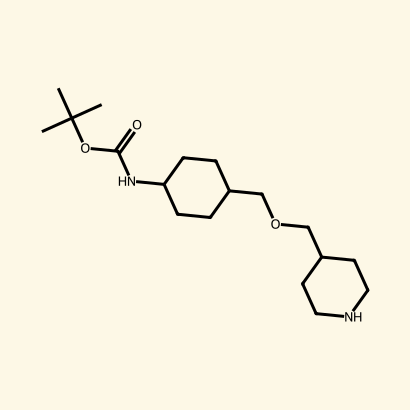 CC(C)(C)OC(=O)NC1CCC(COCC2CCNCC2)CC1